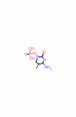 Cc1cn(OP(O)(O)=S)c(=O)nc1N